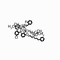 COc1c(OCCCN(CCCc2ccccc2)C(=O)OC(C)(C)C)cccc1[C@@H]1O[C@@H](CC(=O)NCc2ccccc2F)C(=O)N(CC(C)(C)C)c2ccc(Cl)cc21